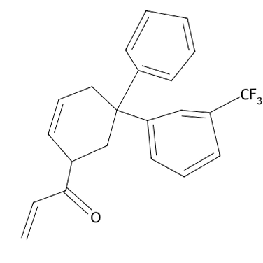 C=CC(=O)C1C=CCC(c2ccccc2)(c2cccc(C(F)(F)F)c2)C1